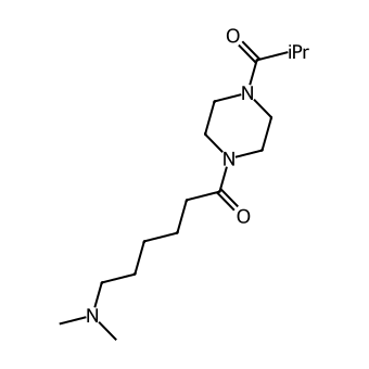 CC(C)C(=O)N1CCN(C(=O)CCCCCN(C)C)CC1